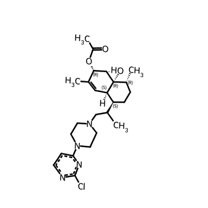 CC(=O)O[C@@H]1[CH][C@@]2(O)[C@H](C)CC[C@@H](C(C)CN3CCN(c4ccnc(Cl)n4)CC3)[C@H]2C=C1C